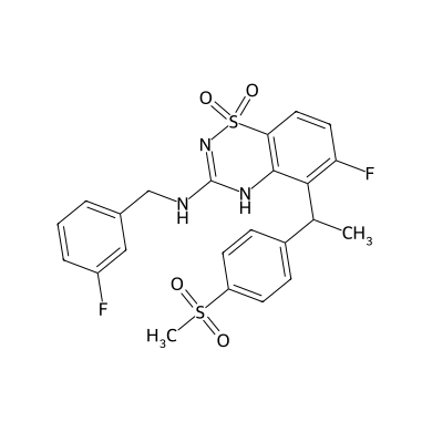 CC(c1ccc(S(C)(=O)=O)cc1)c1c(F)ccc2c1NC(NCc1cccc(F)c1)=NS2(=O)=O